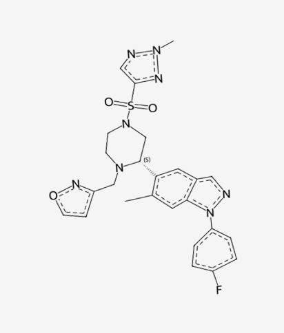 Cc1cc2c(cnn2-c2ccc(F)cc2)cc1[C@H]1CN(S(=O)(=O)c2cnn(C)n2)CCN1Cc1ccon1